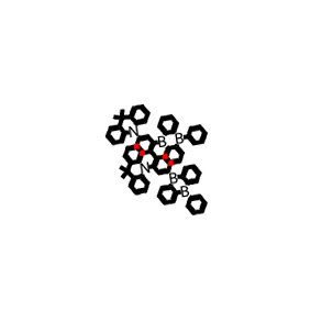 CC1(C)c2ccccc2N(c2ccc(-c3ccc(B4c5ccccc5B(c5ccccc5)c5ccccc54)cc3N3c4ccccc4C(C)(C)c4ccccc43)c(B3c4ccccc4B(c4ccccc4)c4ccccc43)c2)c2ccccc21